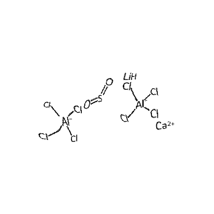 O=S=O.[Ca+2].[Cl][Al-]([Cl])([Cl])[Cl].[Cl][Al-]([Cl])([Cl])[Cl].[LiH]